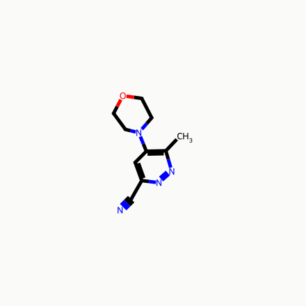 Cc1nnc(C#N)cc1N1CCOCC1